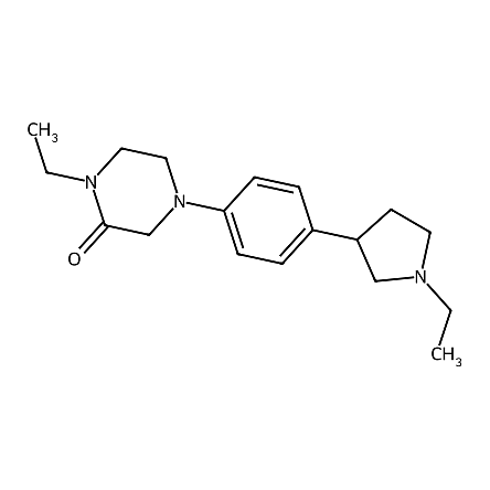 CCN1CCC(c2ccc(N3CCN(CC)C(=O)C3)cc2)C1